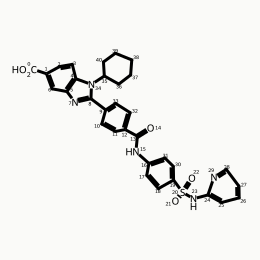 O=C(O)c1ccc2c(c1)nc(-c1ccc(C(=O)Nc3ccc(S(=O)(=O)Nc4ccccn4)cc3)cc1)n2C1CCCCC1